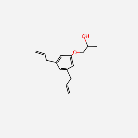 C=CCc1cc(CC=C)cc(OCC(C)O)c1